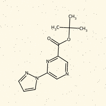 CC(C)(C)OC(=O)c1cncc(-n2cccn2)n1